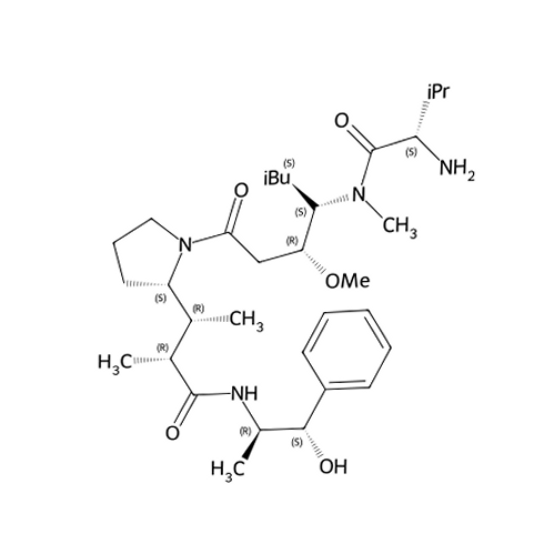 CC[C@H](C)[C@@H]([C@@H](CC(=O)N1CCC[C@H]1[C@H](C)[C@@H](C)C(=O)N[C@H](C)[C@@H](O)c1ccccc1)OC)N(C)C(=O)[C@@H](N)C(C)C